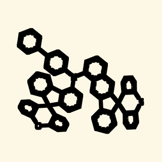 c1ccc(-c2ccc(N(c3cccc4c3-c3ccccc3C43c4ccccc4Oc4ccccc43)c3cccc4cc5c(cc34)-c3ccccc3C53c4ccccc4Sc4ccccc43)cc2)cc1